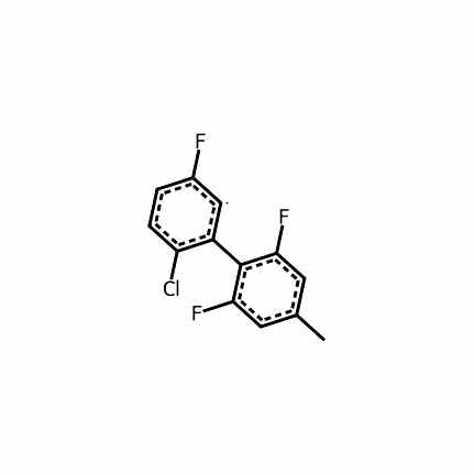 Cc1cc(F)c(-c2[c]c(F)ccc2Cl)c(F)c1